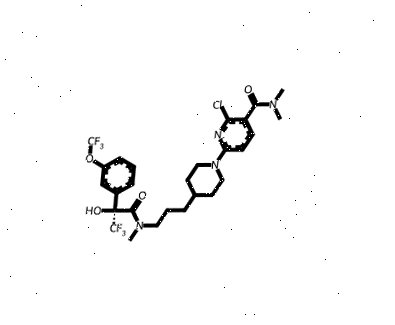 CN(C)C(=O)c1ccc(N2CCC(CCCN(C)C(=O)[C@@](O)(c3cccc(OC(F)(F)F)c3)C(F)(F)F)CC2)nc1Cl